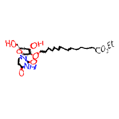 CCOC(=O)CCCCCCCCCCCCCOC1C(O)[C@@H](CO)O[C@H]1n1ccc(=O)[nH]c1=O